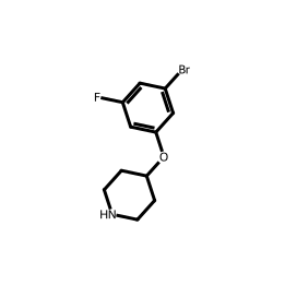 Fc1cc(Br)cc(OC2CCNCC2)c1